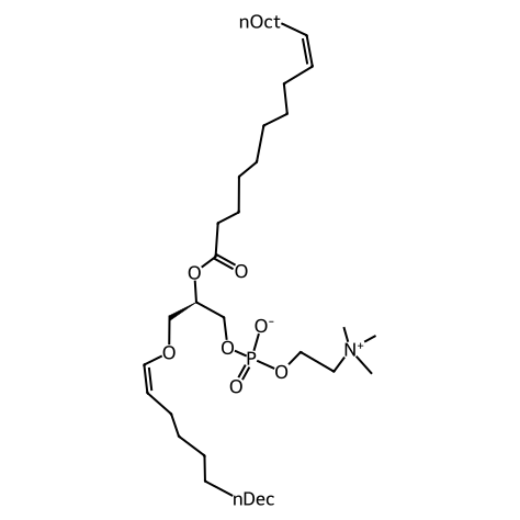 CCCCCCCC/C=C\CCCCCCCC(=O)O[C@H](CO/C=C\CCCCCCCCCCCCCC)COP(=O)([O-])OCC[N+](C)(C)C